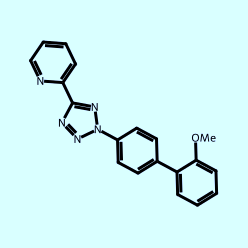 COc1ccccc1-c1ccc(-n2nnc(-c3ccccn3)n2)cc1